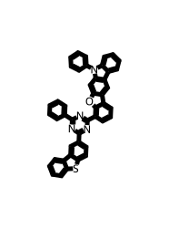 c1ccc(-c2nc(-c3ccc4sc5ccccc5c4c3)nc(-c3cccc4c3oc3cc5c(cc34)c3ccccc3n5-c3ccccc3)n2)cc1